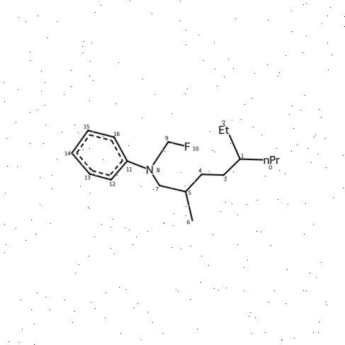 CCCC(CC)CCC(C)CN(CF)c1ccccc1